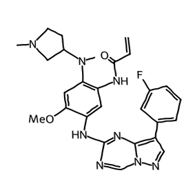 C=CC(=O)Nc1cc(Nc2ncn3ncc(-c4cccc(F)c4)c3n2)c(OC)cc1N(C)C1CCN(C)C1